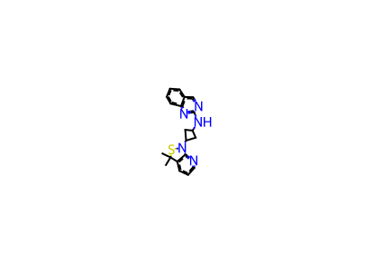 CC1(C)SN(C2CC(Nc3ncc4ccccc4n3)C2)c2ncccc21